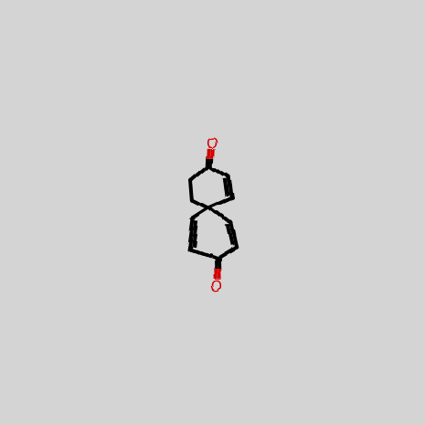 O=C1C=CC2(C=C1)C=CC(=O)CC2